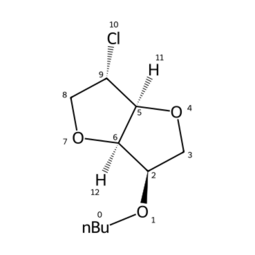 CCCCO[C@@H]1CO[C@H]2[C@@H]1OC[C@@H]2Cl